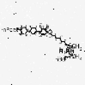 CCCCCC1CCC(C2CC=C(c3ccc(OCCCCCCCC[Si](C)(C)O[Si](C)(C)CCC(C)CC)c(F)c3F)CC2)CC1